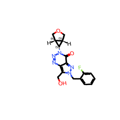 O=c1c2nn(Cc3ccccc3F)c(CO)c2nnn1[C@@H]1[C@@H]2COC[C@@H]21